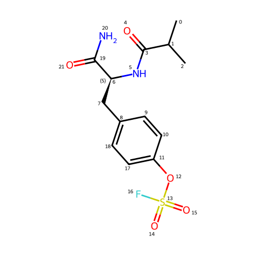 CC(C)C(=O)N[C@@H](Cc1ccc(OS(=O)(=O)F)cc1)C(N)=O